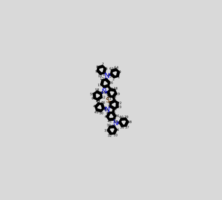 c1ccc(N(c2ccccc2)c2ccc3c(c2)c2ccc4c5ccc6c7cc(N(c8ccccc8)c8ccccc8)ccc7n(-c7ccccc7)c6c5sc4c2n3-c2ccccc2)cc1